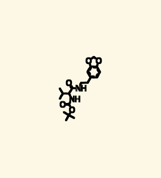 CC(C)C(NC(=O)OC(C)(C)C)C(=O)NCCc1ccc2c(c1)OCO2